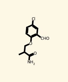 CC(COc1ccc(Cl)cc1C=O)C(N)=O